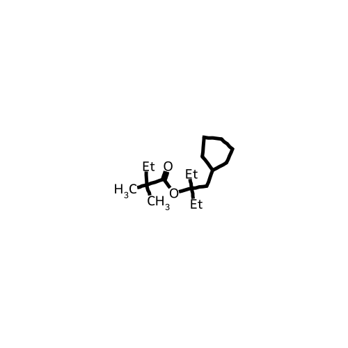 CCC(CC)(CC1CCCCC1)OC(=O)C(C)(C)CC